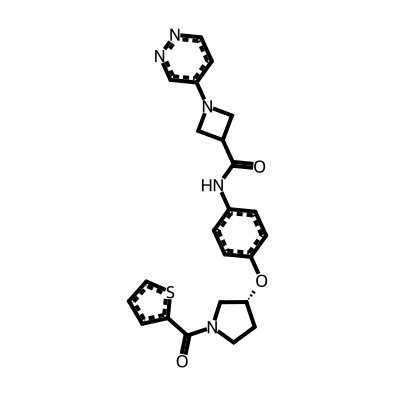 O=C(Nc1ccc(O[C@@H]2CCN(C(=O)c3cccs3)C2)cc1)C1CN(c2ccnnc2)C1